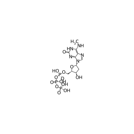 CNc1[nH]c(=O)nc2c1ncn2[C@H]1C[C@@H](O)[C@@H](COP(=O)(O)OP(=O)(O)OP(=O)(O)O)O1